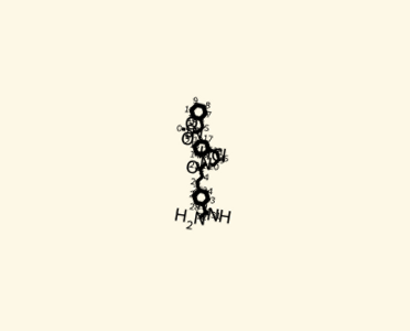 CS(=O)(=O)N(Cc1ccccc1)c1ccc2c(c1)CCCN2C(=O)CCc1ccc(C(=N)N)cc1.Cl